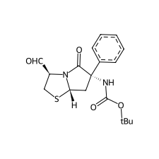 CC(C)(C)OC(=O)N[C@]1(c2ccccc2)C[C@@H]2SC[C@@H](C=O)N2C1=O